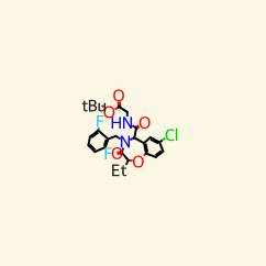 CCC1Oc2ccc(Cl)cc2C(C(=O)NCC(=O)OC(C)(C)C)N(Cc2c(F)cccc2F)C1=O